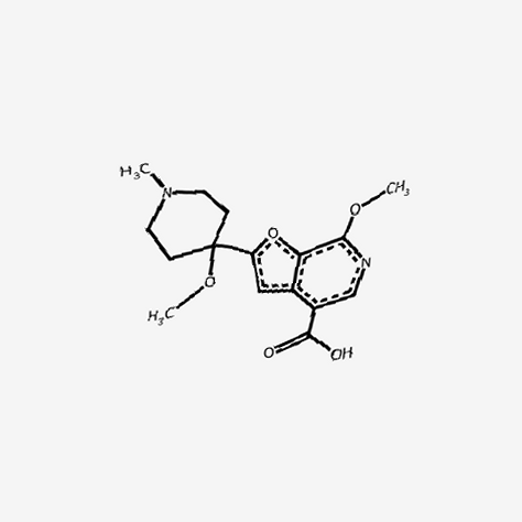 COc1ncc(C(=O)O)c2cc(C3(OC)CCN(C)CC3)oc12